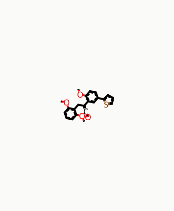 COc1ccc(-c2cccs2)cc1C(=C=O)Cc1c(OC)cccc1OC